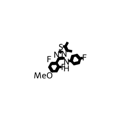 COc1cc(F)c(-c2nc3sc(C)c(C)n3c2Nc2ccc(F)cc2)c(F)c1